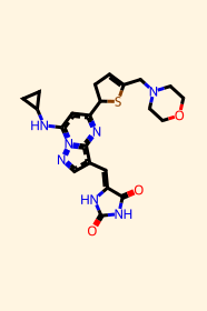 O=C1NC(=O)/C(=C/c2cnn3c(NC4CC4)cc(C4CC=C(CN5CCOCC5)S4)nc23)N1